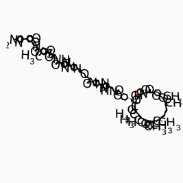 CO[C@H]1CC2CCCC(O2)C(=O)C(=O)N2CCCC[C@H]2C(=O)O[C@H](CC[C@H]2CC[C@H](OC(=O)NCc3cnc(N4CCN(C(=O)CCOCCN5CCN(c6ncc(C(=O)NCCS(=O)(=O)c7ccc(C(=O)N8CCOc9ccc(-c%10ccc(N)nc%10)cc9C8)c(C)c7)cn6)CC5)CC4)nc3)CC2)CC(=O)[C@H](C)/C=C(\C)[C@@H](O)[C@@H](OC)C(=O)[C@H](C)C[C@H](C)/C=C/C=C/C=C/1C